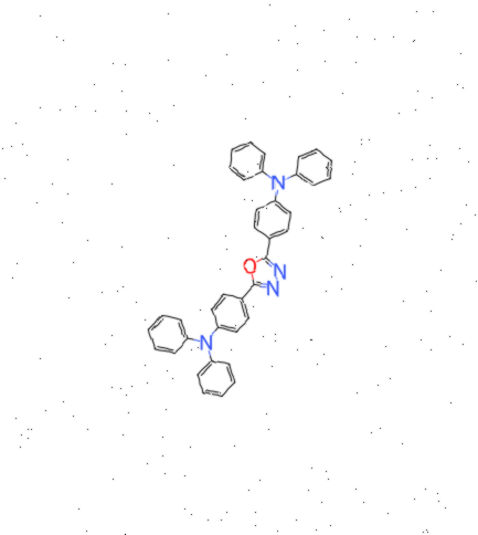 c1ccc(N(c2ccccc2)c2ccc(-c3nnc(-c4ccc(N(c5ccccc5)c5ccccc5)cc4)o3)cc2)cc1